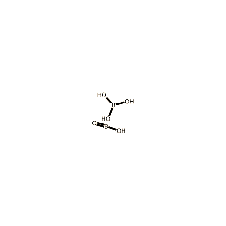 O=BO.OB(O)O